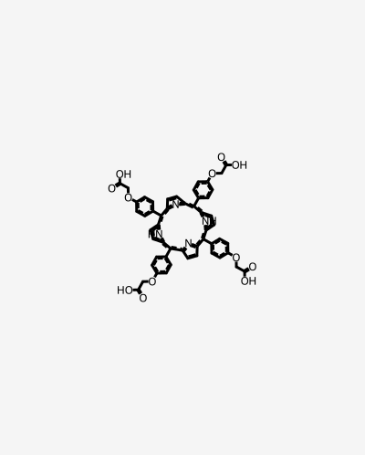 O=C(O)COc1ccc(-c2c3nc(c(-c4ccc(OCC(=O)O)cc4)c4ccc([nH]4)c(-c4ccc(OCC(=O)O)cc4)c4nc(c(-c5ccc(OCC(=O)O)cc5)c5ccc2[nH]5)C=C4)C=C3)cc1